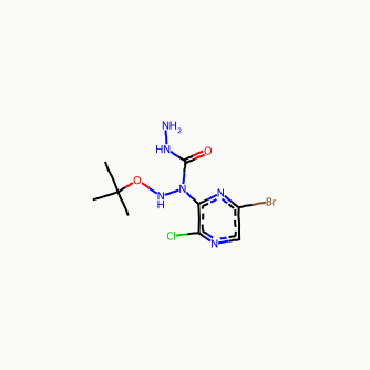 CC(C)(C)ONN(C(=O)NN)c1nc(Br)cnc1Cl